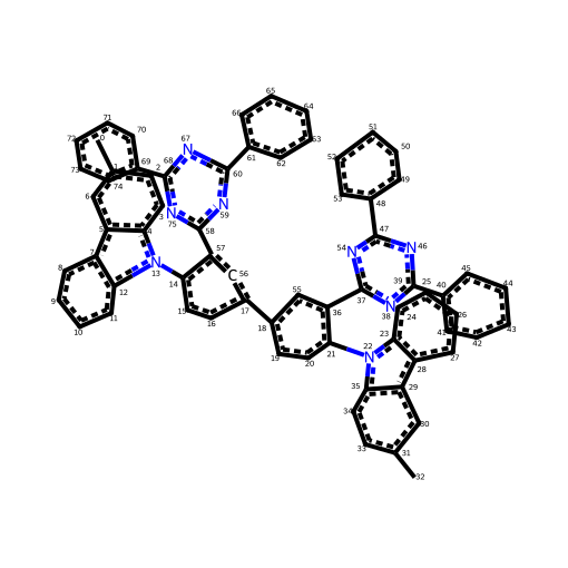 Cc1ccc2c(c1)c1ccccc1n2-c1ccc(-c2ccc(-n3c4ccccc4c4cc(C)ccc43)c(-c3nc(-c4ccccc4)nc(-c4ccccc4)n3)c2)cc1-c1nc(-c2ccccc2)nc(-c2ccccc2)n1